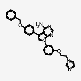 Nc1ncnc2c1c(-c1ccc(OCc3ccccc3)cc1)cn2-c1cccc(OCCn2ccnc2)c1